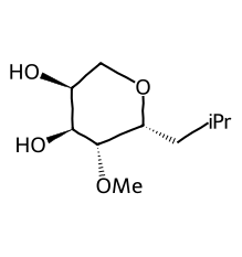 CO[C@@H]1[C@@H](O)[C@@H](O)CO[C@@H]1CC(C)C